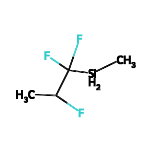 C[SiH2]C(F)(F)C(C)F